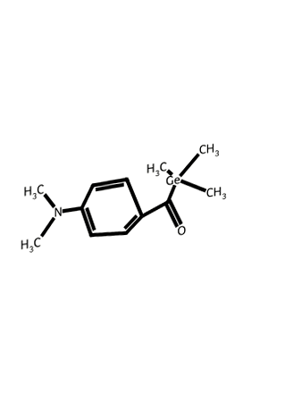 CN(C)c1ccc([C](=O)[Ge]([CH3])([CH3])[CH3])cc1